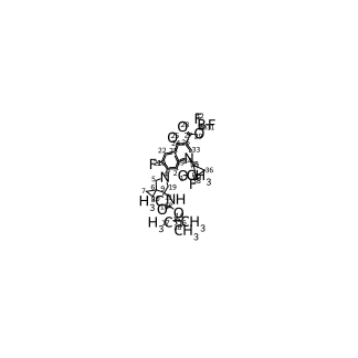 COc1c(N2CC3(CC3)C(C)(NC(=O)OC(C)(C)C)C2)c(F)cc2c(=O)c(C(=O)OB(F)F)cn([C@@H]3C[C@@H]3F)c12